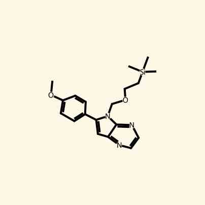 COc1ccc(-c2cc3nccnc3n2COCC[Si](C)(C)C)cc1